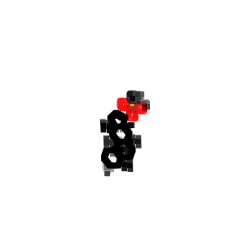 C[C@@H]1CC[C@H]2[C@@H](CC[C@H]3C[C@@]4(C)C(OS(=O)(=O)C(F)(F)F)=CC[C@@H]4C[C@@H]32)C1